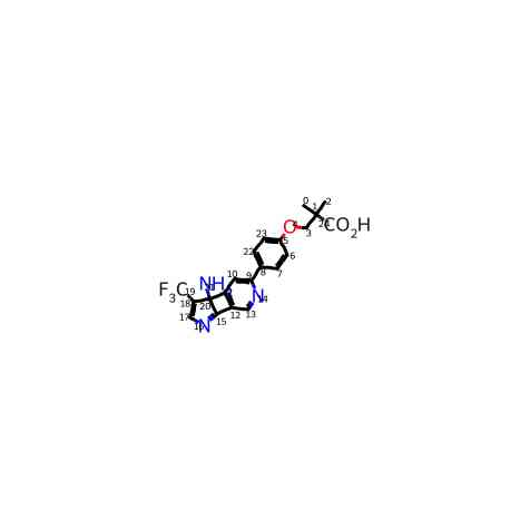 CC(C)(COc1ccc(-c2cc3c(cn2)C2=NC=C(C(F)(F)F)C23N)cc1)C(=O)O